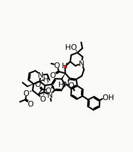 CC[C@]1(O)C[C@H]2CN(CCc3c([nH]c4ccc(-c5cccc(O)c5)cc34)[C@@](C(=O)OC)(C3C=C4C(=CC3OC)N(C)[C@@]35O[C@]3(C(=O)OC)[C@H](OC(C)=O)[C@]3(CC)C=CCN6CC[C@]45[C@@H]63)C2)C1